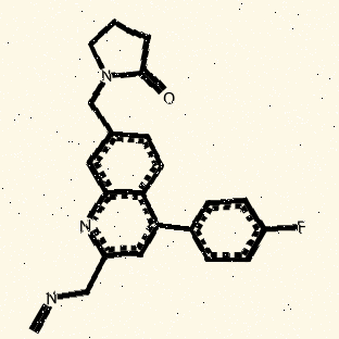 C=NCc1cc(-c2ccc(F)cc2)c2ccc(CN3CCCC3=O)cc2n1